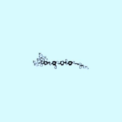 C=CC(=O)OCCCOc1ccc(OC(=O)C2CCC(COc3ccc(OCC4CCC(C(=O)N(C(=O)NC(C)C)C(C)C)CC4)cc3C=O)CC2)cc1